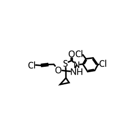 O=C1SC(OCC#CCl)(C2CC2)NN1c1ccc(Cl)cc1Cl